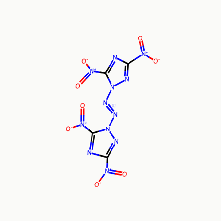 O=[N+]([O-])c1nc([N+](=O)[O-])n(/N=N/n2nc([N+](=O)[O-])nc2[N+](=O)[O-])n1